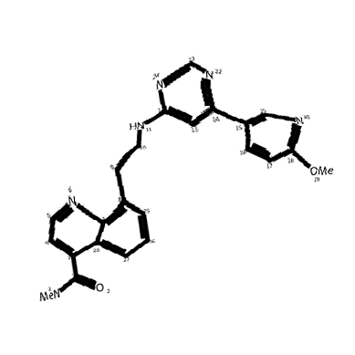 CNC(=O)c1ccnc2c(CCNc3cc(-c4ccc(OC)nc4)ncn3)cccc12